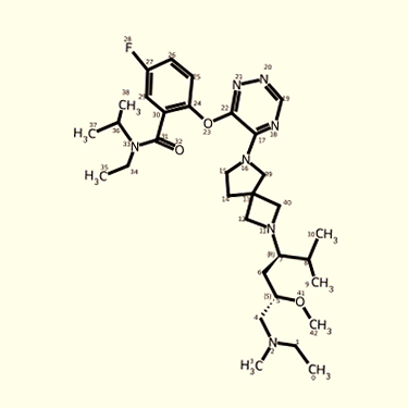 CCN(C)C[C@H](C[C@H](C(C)C)N1CC2(CCN(c3ncnnc3Oc3ccc(F)cc3C(=O)N(CC)C(C)C)C2)C1)OC